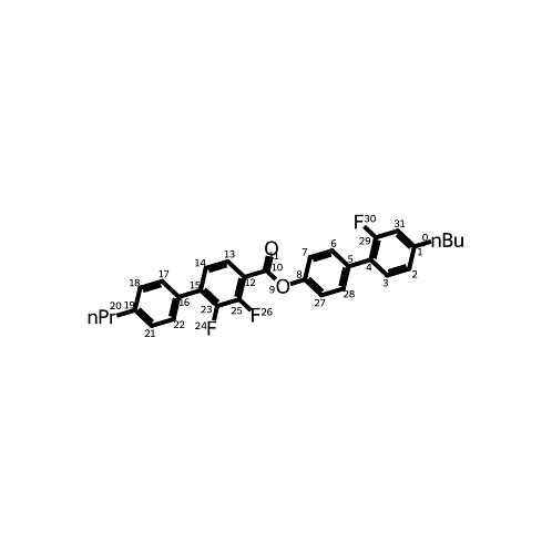 CCCCc1ccc(-c2ccc(OC(=O)c3ccc(-c4ccc(CCC)cc4)c(F)c3F)cc2)c(F)c1